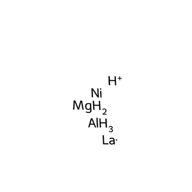 [AlH3].[H+].[La].[MgH2].[Ni]